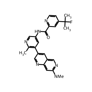 CNc1cc2ncc(-c3cc(NC(=O)c4cc(C(C)(C)F)ccn4)cnc3C)cc2cn1